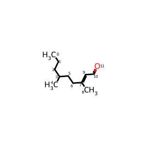 CCCC(C)CCC(C)=CC=O